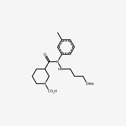 COCCCNN(C(=O)C1CCCN(C(=O)O)C1)c1cccc(C)c1